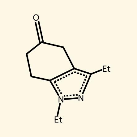 CCc1nn(CC)c2c1CC(=O)CC2